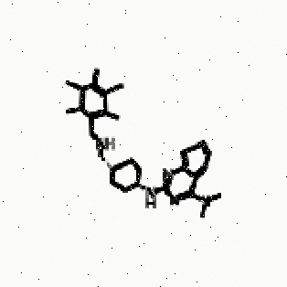 Cc1c(C)c(C)c(CNC[C@H]2CC[C@@H](Nc3nc(N(C)C)c4ccccc4n3)CC2)c(C)c1C